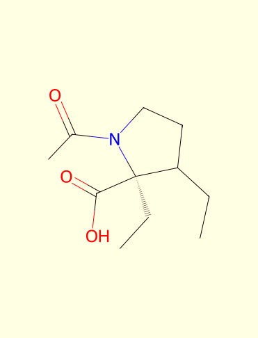 CCC1CCN(C(C)=O)[C@]1(CC)C(=O)O